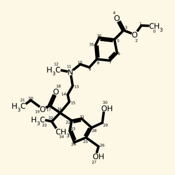 CCOC(=O)c1ccc(CCN(C)CCCC(C(=O)OCC)(c2ccc(CO)c(CO)c2)C(C)C)cc1